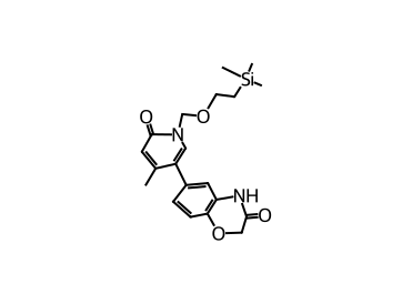 Cc1cc(=O)n(COCC[Si](C)(C)C)cc1-c1ccc2c(c1)NC(=O)CO2